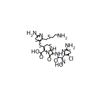 NCCSCc1nc(N)sc1SC1=C(C(=O)O)N2C(=O)[C@@H](NC(=O)/C(=N\O)c3nc(N)sc3Cl)[C@@H]2SC1